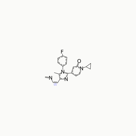 C=N/C=C\c1nc(-c2ccn(C3CC3)c(=O)c2)n(-c2ccc(F)cc2)c1C